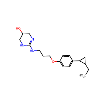 O=C(O)CC1CC1c1ccc(OCCCNC2=NCC(O)CN2)cc1